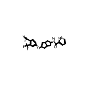 N#Cc1ccc(OC2CC3CC(NC(=O)c4cccnn4)CC3C2)cc1C(F)(F)F